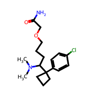 CN(C)C(CCCOCC(N)=O)C1(c2ccc(Cl)cc2)CCC1